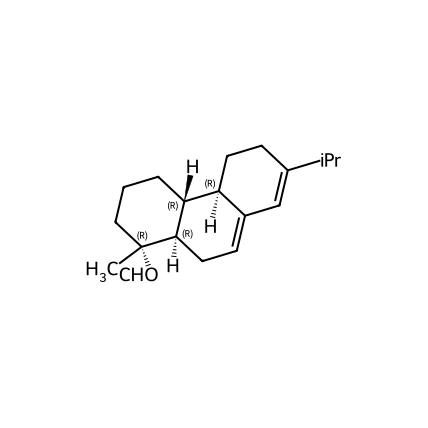 CC(C)C1=CC2=CC[C@@H]3[C@H](CCC[C@@]3(C)C=O)[C@H]2CC1